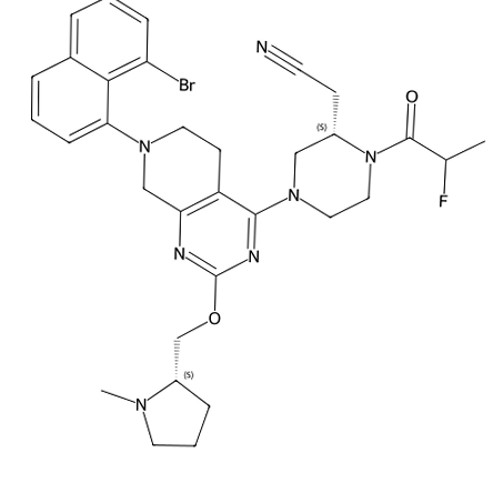 CC(F)C(=O)N1CCN(c2nc(OC[C@@H]3CCCN3C)nc3c2CCN(c2cccc4cccc(Br)c24)C3)C[C@@H]1CC#N